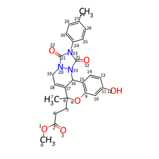 COC(=O)CCC1(C)Oc2cc(O)ccc2C2C1=CCn1c(=O)n(-c3ccc(C)cc3)c(=O)n12